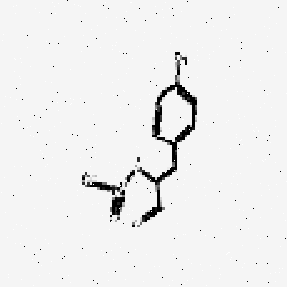 O=[C]C(Cc1ccc(O)cc1)N[N+](=O)[O-]